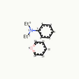 CCN(CC)c1ccccc1.b1ccccc1